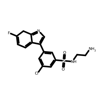 NCCNS(=O)(=O)c1cc(Cl)cc(C2=CN=C3CC(F)=CC=C23)c1